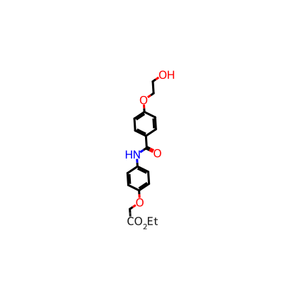 CCOC(=O)COc1ccc(NC(=O)c2ccc(OCCO)cc2)cc1